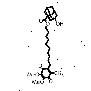 COC1=C(OC)C(=O)C(CCCCCCCCCCOC(=O)C23CC4CC(CC(O)(C4)C2)C3)=C(C)C1=O